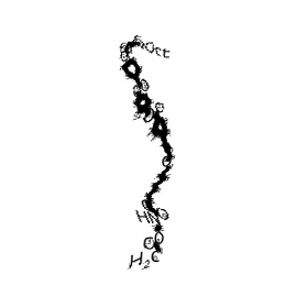 C=CC(=O)OCCNC(=O)OCCCCCCCOCC#Cc1ccc(C(=O)Oc2ccc(OC(=O)C3CCC(OC(F)(F)CC(F)(F)CCCCCCCC)CC3)cc2)cc1